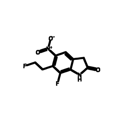 O=C1Cc2cc([N+](=O)[O-])c(CCF)c(F)c2N1